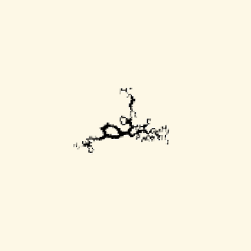 C=CCOC(=O)C1=C(c2cccc(CNC(N)=O)c2)C[C@@H]2[C@@H]([C@@H](C)O[Si](C)(C)C)C(=O)N12